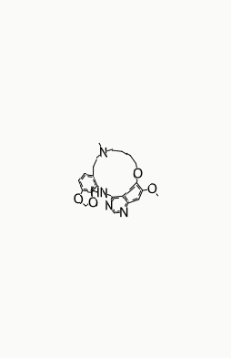 COc1cc2ncnc3c2cc1OCCCCN(C)CCc1ccc2c(c1N3)OCO2